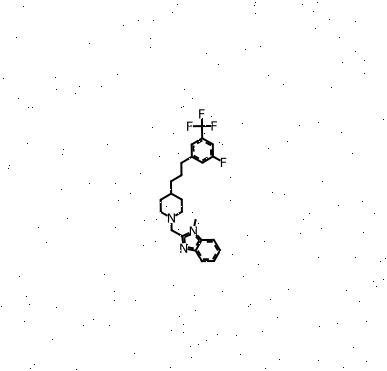 Cn1c(CN2CCC(CCCc3cc(F)cc(C(F)(F)F)c3)CC2)nc2ccccc21